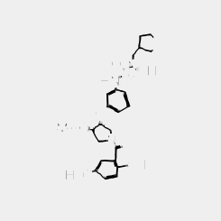 CO[C@@H]1CN(C(=O)c2cc(C)ccc2C)C[C@H]1Oc1cccc(NS(=O)(=O)N(C)CC2CCOC2)c1